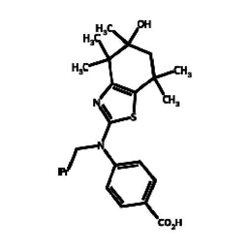 CC(C)CN(c1ccc(C(=O)O)cc1)c1nc2c(s1)C(C)(C)CC(C)(O)C2(C)C